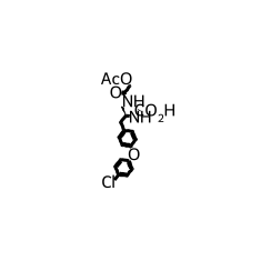 CC(=O)OCC(=O)NC[C@H](Cc1ccc(Oc2ccc(Cl)cc2)cc1)NC(=O)O